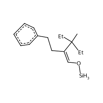 CCC(C)(CC)C(=CO[SiH3])CCc1ccccc1